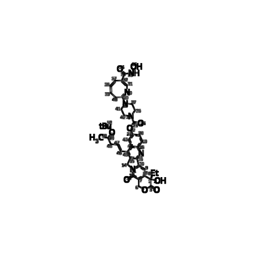 CC[C@@]1(O)C(=O)OCc2c1cc1n(c2=O)Cc2c-1nc1ccc(OC(=O)N3CCN(/C4=N/C=C(/C(=O)NO)C=C=CC4)CC3)cc1c2/C=C/CC(C)OC(C)(C)C